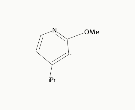 COc1[c]c(C(C)C)ccn1